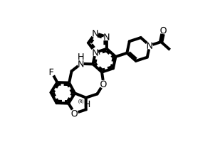 CC(=O)N1CC=C(c2cc3c(n4cnnc24)NCc2c(F)ccc4c2[C@H](CO4)CO3)CC1